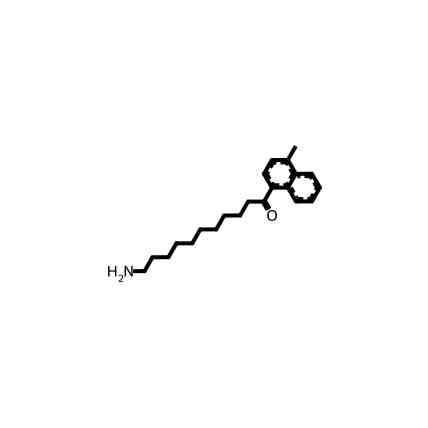 Cc1ccc(C(=O)CCCCCCCCCCN)c2ccccc12